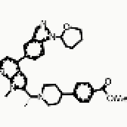 COC(=O)c1ccc(C2CCN([C@H](C)c3cc4c(-c5ccc6c(cnn6C6CCCCO6)c5)ccnc4n3C)CC2)cc1